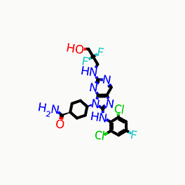 NC(=O)[C@H]1CC[C@@H](n2c(Nc3c(Cl)cc(F)cc3Cl)nc3cnc(NCC(F)(F)CO)nc32)CC1